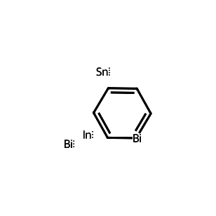 C1=C[CH]=[Bi][CH]=C1.[Bi].[In].[Sn]